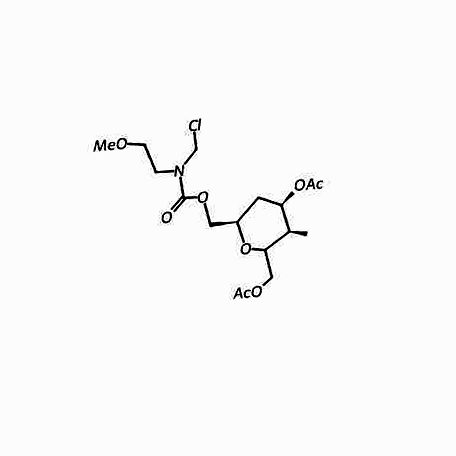 COCCN(CCl)C(=O)OC[C@H]1C[C@@H](OC(C)=O)[C@@H](C)C(COC(C)=O)O1